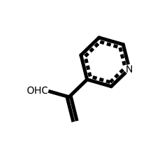 C=C(C=O)c1cccnc1